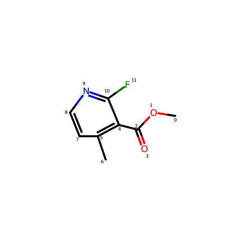 COC(=O)c1c(C)ccnc1F